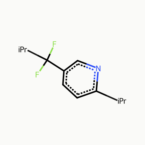 CC(C)c1ccc(C(F)(F)C(C)C)cn1